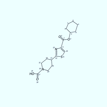 O=C(OC1CCCCC1)c1csc(C2CCN(C(=O)O)CC2)n1